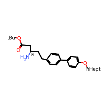 CCCCCCCOc1ccc(-c2ccc(CC[C@@H](N)CC(=O)OC(C)(C)C)cc2)cc1